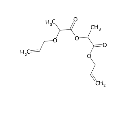 C=CCOC(=O)C(C)OC(=O)C(C)OCC=C